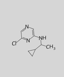 CC(Nc1cncc(Cl)n1)C1CC1